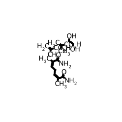 C=C(C)C(=O)O.C=C(C)C(=O)O.CC(=CCC=C(C)C(N)=O)C(N)=O.OCCO